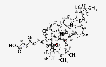 C[C@@H]1c2c(C(F)(F)F)nn(CC(=O)N[C@@H](Cc3cc(F)cc(F)c3)c3nc(CCC(C)(C)S(C)(=O)=O)ccc3-c3ccc(Cl)c4c(N(C(=O)OCOC(=O)/C=C/C(=O)O)S(C)(=O)=O)nn(CC(F)(F)F)c34)c2C(F)(F)[C@@H]1C